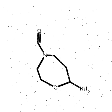 NC1CCN(C=O)CCO1